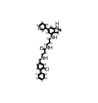 O=C(CCNCc1ccc(-c2ccccc2)c(Cl)c1)NCCCNc1cc(-c2cccnc2)cc2[nH]ncc12